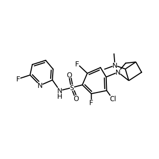 CN(C)C1C2CC1N(c1cc(F)c(S(=O)(=O)Nc3cccc(F)n3)c(F)c1Cl)C2